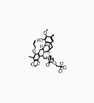 C=CCOc1c(C)c2c(c3c1C[C@H]1C4c5c(cc(C)c(OC)c5O)CC([C@H](C#N)N1C3CNC(=O)OCC(Cl)(Cl)Cl)N4C)OCO2